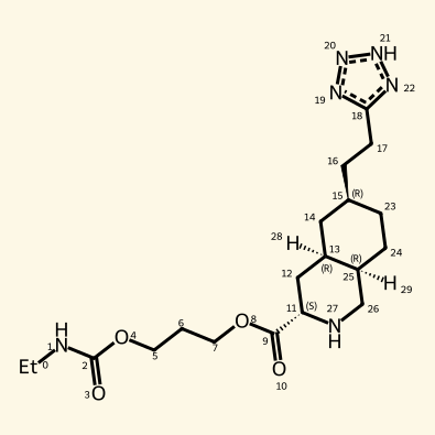 CCNC(=O)OCCCOC(=O)[C@@H]1C[C@H]2C[C@@H](CCc3nn[nH]n3)CC[C@H]2CN1